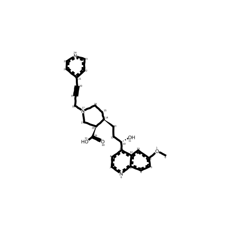 COc1ccc2nccc([C@@H](O)CC[C@@H]3CCN(CC#Cc4ccncc4)C[C@@H]3C(=O)O)c2c1